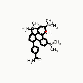 COc1cc(N(C)C)ccc1-c1c(C(N)=O)ccc(-c2ccc(C(N)=O)cc2)c1-c1ccc(N(C)C)cc1OC